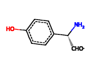 N[C@H]([C]=O)c1ccc(O)cc1